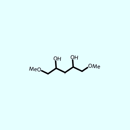 COCC(O)[CH]C(O)COC